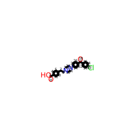 O=C(O)c1ccc(CCN2CCN(c3ccc(C(=O)c4ccc(Cl)cc4)cc3)CC2)cc1